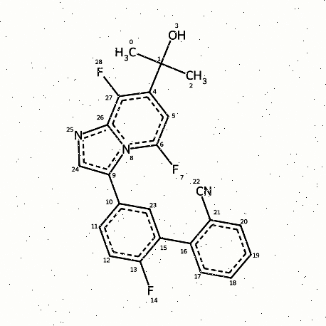 CC(C)(O)c1cc(F)n2c(-c3ccc(F)c(-c4ccccc4C#N)c3)cnc2c1F